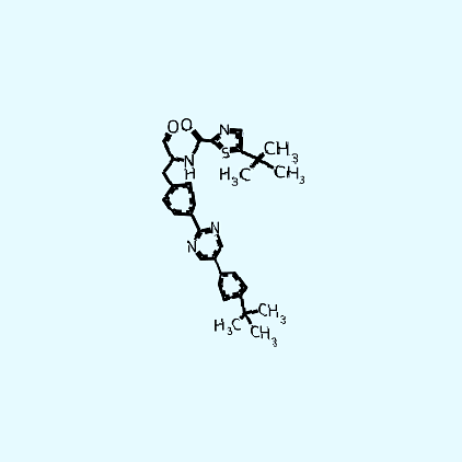 CC(C)(C)c1ccc(-c2cnc(-c3ccc(CC(C=O)NC(=O)c4ncc(C(C)(C)C)s4)cc3)nc2)cc1